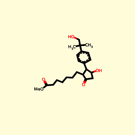 COC(=O)CCCCCCC1C(=O)CC(O)C1c1ccc(C(C)(C)CO)cc1